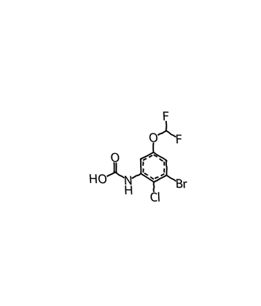 O=C(O)Nc1cc(OC(F)F)cc(Br)c1Cl